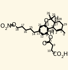 CC1=C[C@H]2c3c(OC(=O)CCC(=O)O)cc(CCCCCO[N+](=O)[O-])cc3OC(C)(C)[C@@H]2CC1